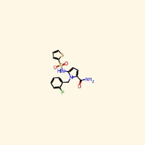 NC(=O)c1ccc(NS(=O)(=O)c2cccs2)n1Cc1ccccc1F